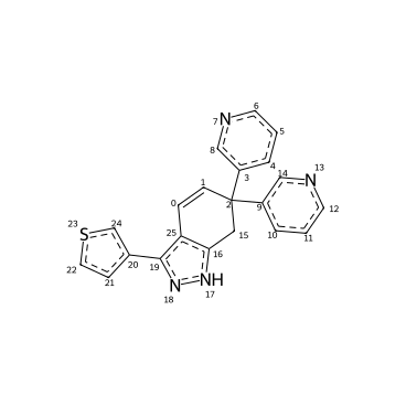 C1=CC(c2cccnc2)(c2cccnc2)Cc2[nH]nc(-c3ccsc3)c21